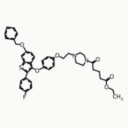 CCOC(=O)CCCC(=O)N1CCN(CCOc2ccc(Oc3c(-c4ccc(F)cc4)sc4cc(OCc5ccccc5)ccc34)cc2)CC1